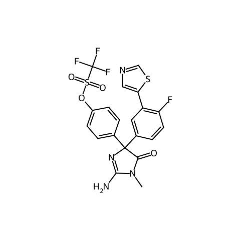 CN1C(=O)C(c2ccc(OS(=O)(=O)C(F)(F)F)cc2)(c2ccc(F)c(-c3cncs3)c2)N=C1N